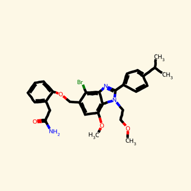 COCCn1c(-c2ccc(C(C)C)cc2)nc2c(Br)c(COc3ccccc3CC(N)=O)cc(OC)c21